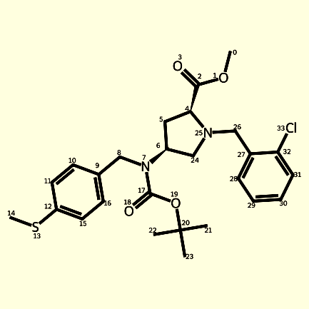 COC(=O)[C@@H]1C[C@H](N(Cc2ccc(SC)cc2)C(=O)OC(C)(C)C)CN1Cc1ccccc1Cl